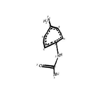 CCCCC(=O)Nc1ccc(N)cc1